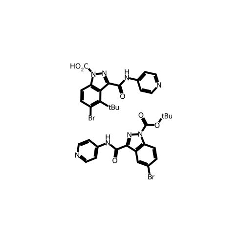 CC(C)(C)OC(=O)n1nc(C(=O)Nc2ccncc2)c2cc(Br)ccc21.CC(C)(C)c1c(Br)ccc2c1c(C(=O)Nc1ccncc1)nn2C(=O)O